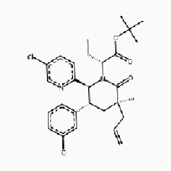 C=CC[C@@]1(C)C[C@H](c2cccc(Cl)c2)[C@@H](c2ccc(Cl)cn2)N([C@H](CC)C(=O)OC(C)(C)C)C1=O